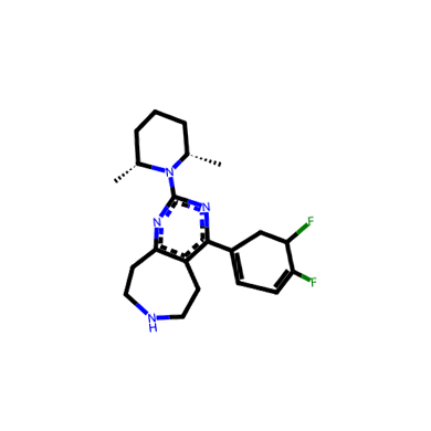 C[C@@H]1CCC[C@H](C)N1c1nc2c(c(C3=CC=C(F)C(F)C3)n1)CCNCC2